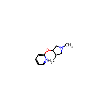 CC1CN(C)CC1Oc1ccccn1